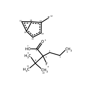 CCCC(F)(C(=O)O)C(C)(C)C.Fc1ccc2cc1-2